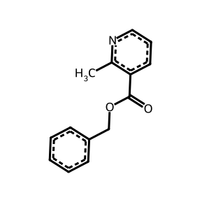 Cc1ncccc1C(=O)OCc1ccccc1